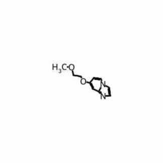 COCCOc1ccn2ccnc2c1